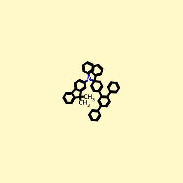 CC1(C)c2ccccc2-c2ccc(N(c3ccccc3)C3(c4ccccc4)C=CC(c4cc(-c5ccccc5)ccc4-c4ccccc4)=CC3)cc21